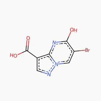 O=C(O)c1cnn2cc(Br)c(O)nc12